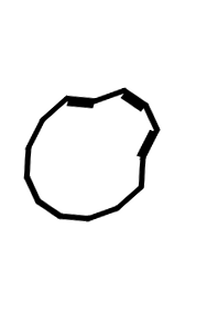 [C]1=C/C=C\C=C\CCCCCCCC/1